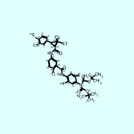 CC(C)(C)OC(=O)N(C(=O)OC(C)(C)C)c1cc(F)c(NC(=O)c2cc(NC(=O)[C@H]3C(c4ccc(F)c(Cl)c4)C3(Cl)Cl)ccc2Cl)cc1F